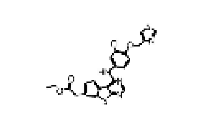 CCOC(=O)Cc1ccc2c(c1)sc1ncnc(Nc3ccc(OCc4cscn4)c(Cl)c3)c12